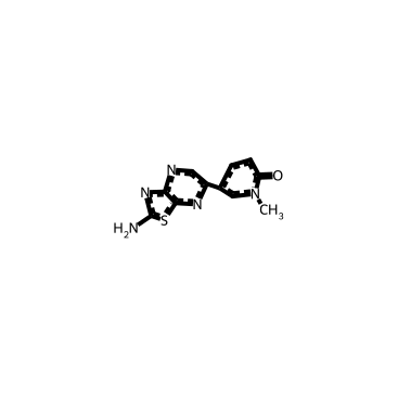 Cn1cc(-c2cnc3nc(N)sc3n2)ccc1=O